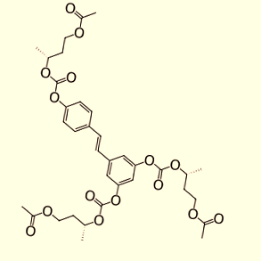 CC(=O)OCC[C@@H](C)OC(=O)Oc1ccc(/C=C/c2cc(OC(=O)O[C@H](C)CCOC(C)=O)cc(OC(=O)O[C@H](C)CCOC(C)=O)c2)cc1